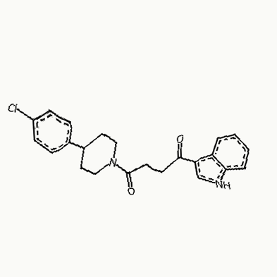 O=C(CCC(=O)N1CCC(c2ccc(Cl)cc2)CC1)c1c[nH]c2ccccc12